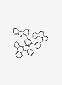 c1ccc(-c2c(-c3nc(-c4cccc(-c5cccc6ccc7ccccc7c56)c4)nc(-c4cccc5c4oc4ccccc45)n3)c3ccccc3c3ccccc23)cc1